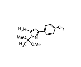 COC(C)(OC)n1nc(-c2ccc(C(F)(F)F)cc2)cc1N